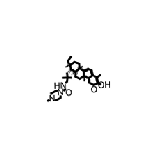 CC[C@]1(C)CC[C@]2(C)C3=CC=C4C(=CC(=O)C(O)=C4C)[C@]3(C)CC[C@@]2(C)[C@@H]1CC(C)(C)CNC(=O)N1CCN(C)CC1